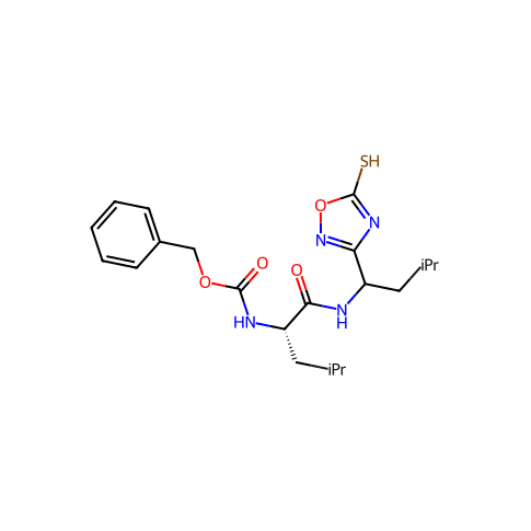 CC(C)CC(NC(=O)[C@H](CC(C)C)NC(=O)OCc1ccccc1)c1noc(S)n1